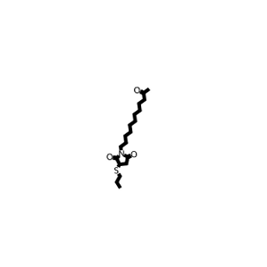 CCCSC1CC(=O)N(CCCCCCCCCCC(C)=O)C1=O